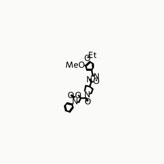 CCOc1ccc(-c2noc(C3CCN(C(=O)C4CN(c5ccccc5)C(=O)O4)CC3)n2)cc1OC